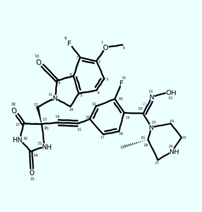 COc1ccc2c(c1F)C(=O)N(C[C@@]1(C#Cc3ccc(/C(=N/O)N4CCNC[C@@H]4C)c(F)c3)NC(=O)NC1=O)C2